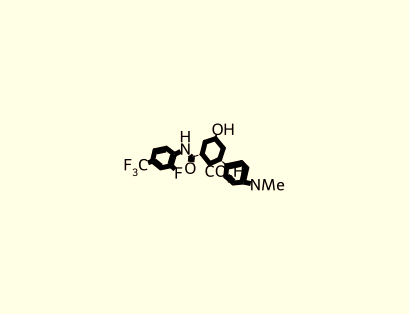 CNc1ccc([C@H]2C[C@@H](O)C[C@@H](C(=O)Nc3ccc(C(F)(F)F)cc3F)[C@@H]2C(=O)O)cc1